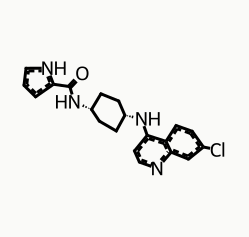 O=C(N[C@H]1CC[C@@H](Nc2ccnc3cc(Cl)ccc23)CC1)c1ccc[nH]1